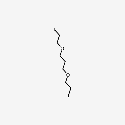 ICCOCCCOCCI